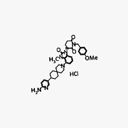 COc1ccc(CN2C(=O)CC[C@@H](n3c(=O)n(C)c4c(N5CCC6(CCC(c7ccc(N)nc7)CC6)CC5)cccc43)C2=O)cc1.Cl